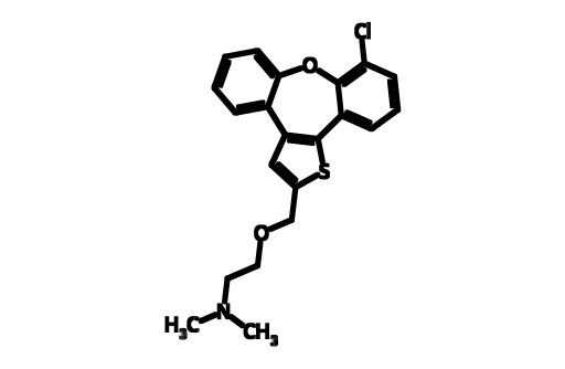 CN(C)CCOCc1cc2c(s1)-c1cccc(Cl)c1Oc1ccccc1-2